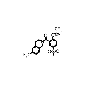 C[C@H](Oc1ccc(S(C)(=O)=O)cc1C(=O)N1CCc2cc(C(F)(F)F)ccc2C1)C(F)(F)F